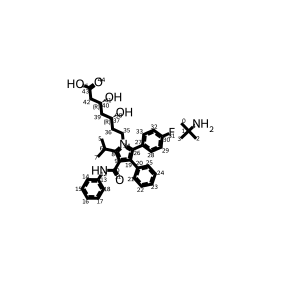 CC(C)(C)N.CC(C)c1c(C(=O)Nc2ccccc2)c(-c2ccccc2)c(-c2ccc(F)cc2)n1CC[C@@H](O)C[C@@H](O)CC(=O)O